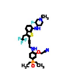 CCP(=O)(CC)c1ccc(NCC#Cc2sc3c(NC4CCN(C)C[C@@H]4F)cccc3c2CC(F)(F)F)c(OCC#N)c1